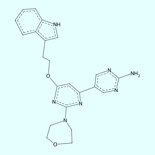 Nc1ncc(-c2cc(OCCc3c[nH]c4ccccc34)nc(N3CCOCC3)n2)cn1